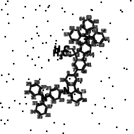 CCC1(CC)c2cc(-c3ccc4c(c3)c3ccccc3n4-c3ccc(N(c4ccccc4)c4ccccc4)cc3)ccc2-c2ccc([Si](c3ccccc3)(c3ccccc3)c3ccccc3)cc21